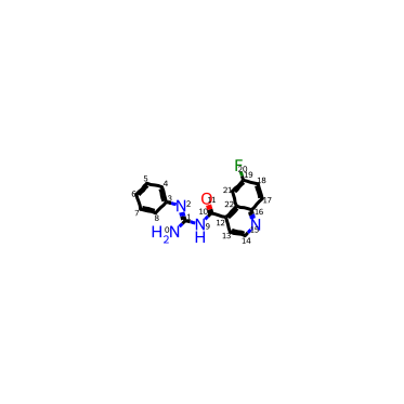 NC(=Nc1ccccc1)NC(=O)c1ccnc2ccc(F)cc12